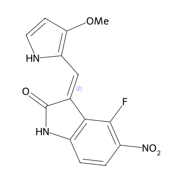 COc1cc[nH]c1/C=C1\C(=O)Nc2ccc([N+](=O)[O-])c(F)c21